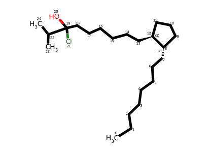 CCCCCCCC[C@H]1CCC[C@@H]1CCCCCCC(O)(Cl)C(C)C